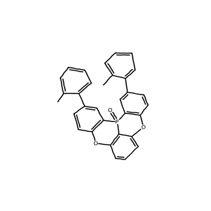 Cc1ccccc1-c1ccc2c(c1)P1(=O)c3cc(-c4ccccc4C)ccc3Oc3cccc(c31)O2